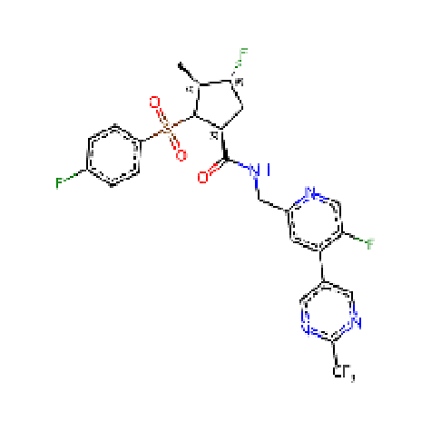 C[C@@H]1C(S(=O)(=O)c2ccc(F)cc2)[C@H](C(=O)NCc2cc(-c3cnc(C(F)(F)F)nc3)c(F)cn2)C[C@H]1F